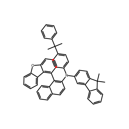 CC(C)(c1ccccc1)c1ccc(N(c2ccc3c(c2)-c2ccccc2C3(C)C)c2ccc3ccccc3c2-c2cccc3oc4ccccc4c23)cc1